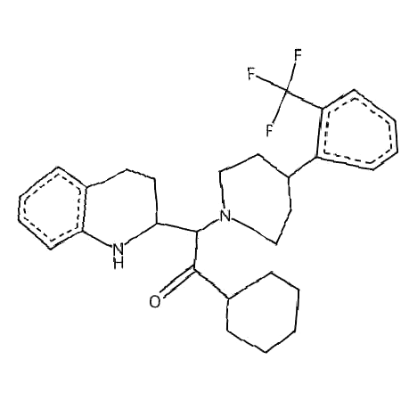 O=C(C1CCCCC1)C(C1CCc2ccccc2N1)N1CCC(c2ccccc2C(F)(F)F)CC1